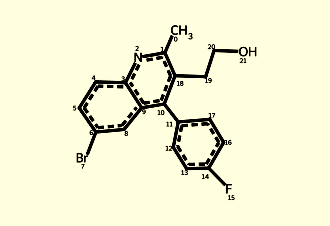 Cc1nc2ccc(Br)cc2c(-c2ccc(F)cc2)c1CCO